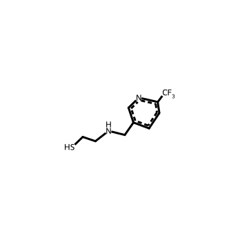 FC(F)(F)c1ccc(CNCCS)cn1